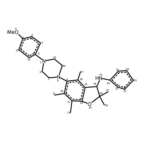 COc1ccc(N2CCN(c3c(C)c(C)c4c(c3C)C(Nc3ccccc3)C(C)(C)O4)CC2)cc1